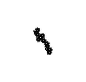 CC1(C)c2ccccc2-c2cc(-c3c4ccccc4c(-c4ccc(-c5ccc6cc7c(cc6c5)oc5c6ccccc6ccc75)cc4)c4ccccc34)ccc21